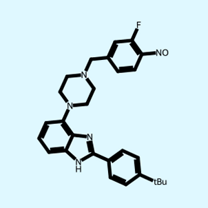 CC(C)(C)c1ccc(-c2nc3c(N4CCN(Cc5ccc(N=O)c(F)c5)CC4)cccc3[nH]2)cc1